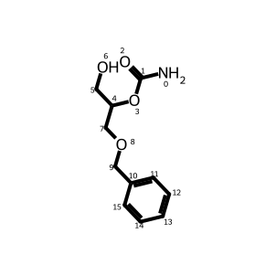 NC(=O)OC(CO)COCc1ccccc1